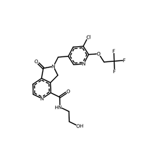 O=C(NCCO)c1nccc2c1CN(Cc1cnc(OCC(F)(F)F)c(Cl)c1)C2=O